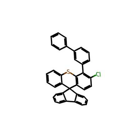 Clc1ccc2c(c1-c1cccc(-c3ccccc3)c1)Sc1ccccc1C21c2ccccc2-c2ccccc21